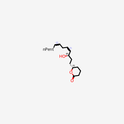 CCCCC/C=C\C/C=C\[C@H](O)CC[C@@H]1CCCC(=O)O1